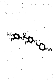 CCCC1CCC(COc2ccc(C(=O)Oc3ccc(C#N)c(F)c3)c(F)c2)CC1